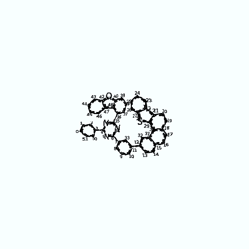 c1ccc(-c2nc(-c3cccc(-c4ccc5ccc6ccc7c8ccccc8sc7c6c5c4)c3)nc(-c3cccc4oc5ccccc5c34)n2)cc1